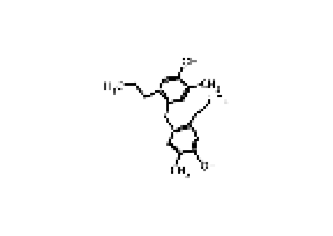 CCCc1cc(O)c(C)cc1Cc1cc(C)c(O)cc1CCC